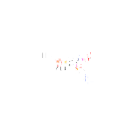 CCOP(=O)(COc1ccc(C[C@@H](CCN(CC(C)(C)F)S(=O)(=O)c2ccc3nc(N)sc3c2)NC(=O)OC2C3COC4OC2CC4C3)cc1)OCC